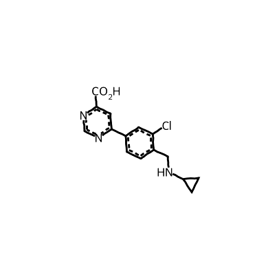 O=C(O)c1cc(-c2ccc(CNC3CC3)c(Cl)c2)ncn1